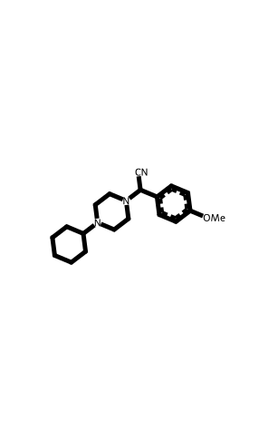 COc1ccc(C(C#N)N2CCN(C3CCCCC3)CC2)cc1